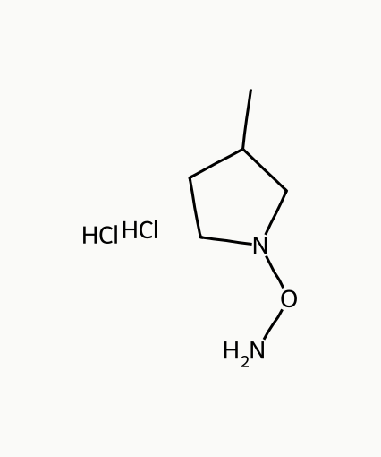 CC1CCN(ON)C1.Cl.Cl